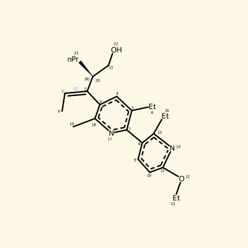 C/C=C(\c1cc(CC)c(-c2ccc(OCC)nc2CC)nc1C)[C@H](CO)CCC